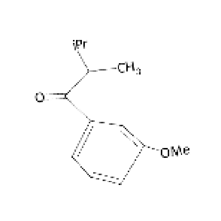 COc1cccc(C(=O)C(C)C(C)C)c1